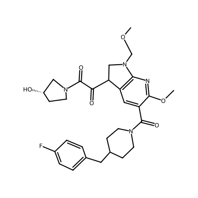 COCN1CC(C(=O)C(=O)N2CC[C@H](O)C2)c2cc(C(=O)N3CCC(Cc4ccc(F)cc4)CC3)c(OC)nc21